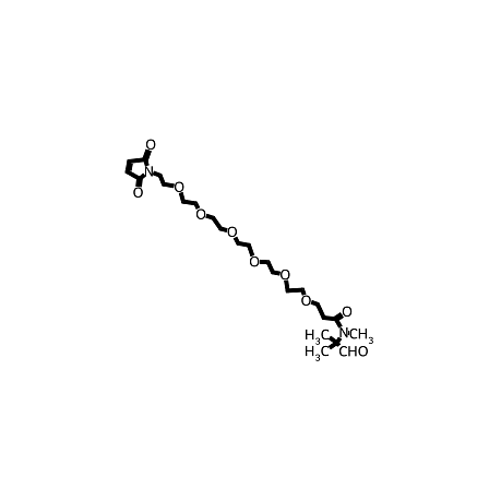 CN(C(=O)CCOCCOCCOCCOCCOCCOCCN1C(=O)C=CC1=O)C(C)(C)C=O